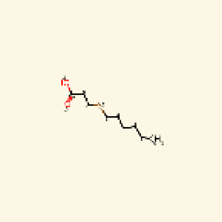 CCCCCCSCCC(=O)O